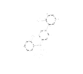 CCOC(=O)c1cccc([N+](=O)[O-])c1N(C)c1ccc(-c2ccccc2C#N)cc1